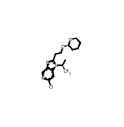 C[C@H](n1c(CCO[C@@H]2CCCCO2)nc2cnc(Cl)cc21)C(F)(F)F